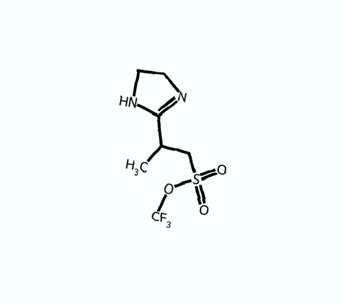 CC(CS(=O)(=O)OC(F)(F)F)C1=NCCN1